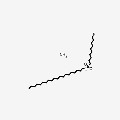 CCCCCCCCCCCCCCCCCCCCOS(=O)(=O)CCCCCCCCCCF.N